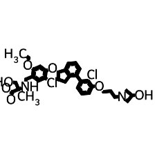 CCOc1cc(O[C@H]2CCc3c(-c4cccc(OCCCN5CC(O)C5)c4Cl)cccc32)c(Cl)cc1CN[C@@](C)(CO)C(=O)O